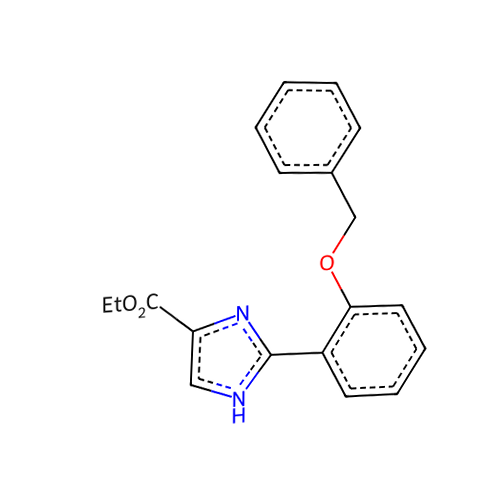 CCOC(=O)c1c[nH]c(-c2ccccc2OCc2ccccc2)n1